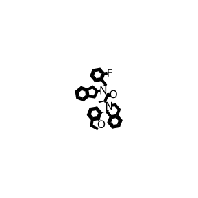 C[C@@H](C(=O)N(Cc1ccccc1F)C1Cc2ccccc2C1)N1CCc2ccccc2[C@@H]1c1cccc2c1OCC2